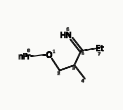 CCCOCC(C)C(=N)CC